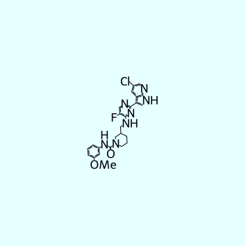 COc1cccc(NC(=O)N2CCCC(CNc3nc(-c4c[nH]c5ncc(Cl)cc45)ncc3F)C2)c1